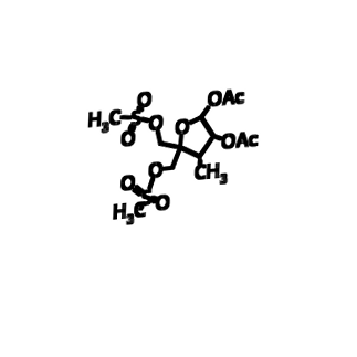 CC(=O)OC1OC(COS(C)(=O)=O)(COS(C)(=O)=O)[C@H](C)C1OC(C)=O